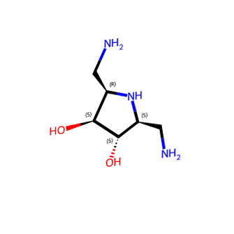 NC[C@@H]1N[C@H](CN)[C@H](O)[C@H]1O